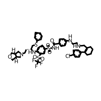 O=C(NS(=O)(=O)c1ccc(N[C@H](CCN2C[C@H]3COC[C@H]3C2)CSc2ccccc2)c(S(=O)(=O)C(F)(F)F)c1)c1ccc(NCCNCC2=C(c3ccc(Cl)cc3)CCCC2)cc1